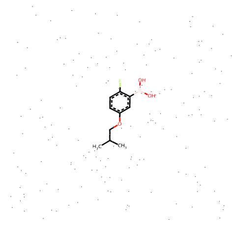 CC(C)COc1ccc(F)c(B(O)O)c1